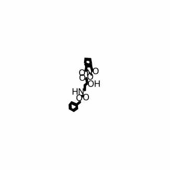 O=C(NCCC(O)C(=O)ON1C(=O)C2C3C=CC(C3)C2C1=O)OCc1ccccc1